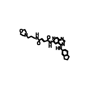 O=C(C=CC(=O)Nc1cc2c(Nc3ccc4c(c3)CCC4)ncnc2cn1)NCCCN1CCOCC1